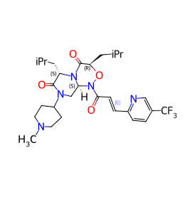 CC(C)C[C@H]1ON(C(=O)/C=C/c2ccc(C(F)(F)F)cn2)[C@H]2CN(C3CCN(C)CC3)C(=O)[C@H](CC(C)C)N2C1=O